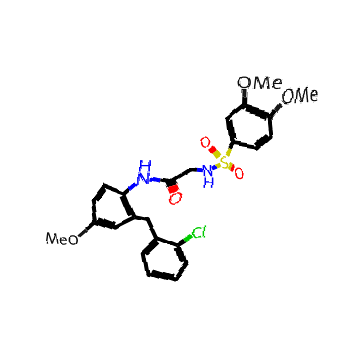 COc1ccc(NC(=O)CNS(=O)(=O)c2ccc(OC)c(OC)c2)c(Cc2ccccc2Cl)c1